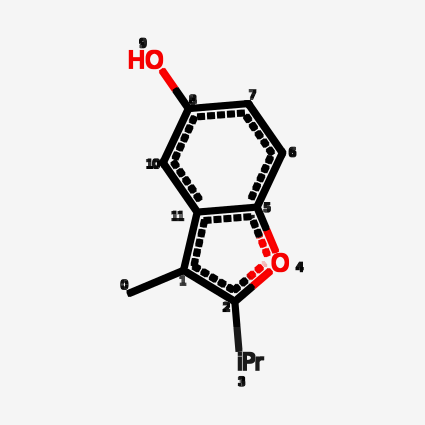 Cc1c(C(C)C)oc2ccc(O)cc12